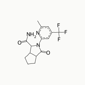 Cc1cc(C(F)(F)F)cc(N2C(=O)C3CCCC3C2C(N)=O)n1